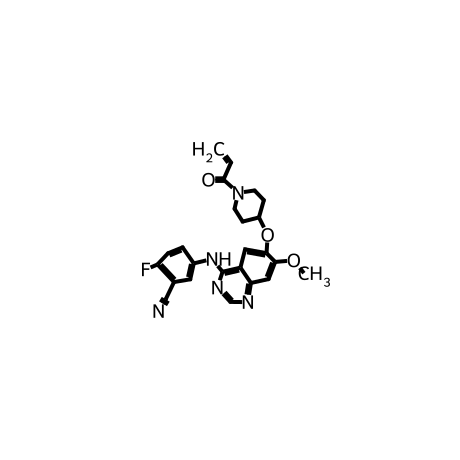 C=CC(=O)N1CCC(Oc2cc3c(Nc4ccc(F)c(C#N)c4)ncnc3cc2OC)CC1